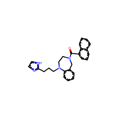 O=C(c1cccc2ccccc12)N1CCN(CCCc2ncc[nH]2)c2ccccc2C1